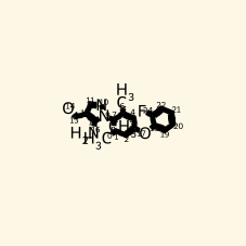 CC/C=C(\C=C(\C)C(C)n1ncc(C=O)c1N)Oc1ccccc1F